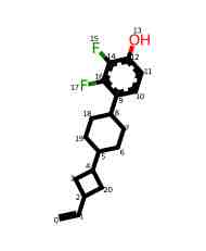 C=CC1CC(C2CCC(c3ccc(O)c(F)c3F)CC2)C1